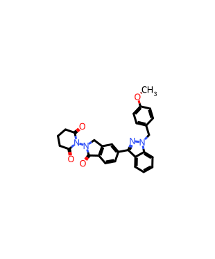 COc1ccc(Cn2nc(-c3ccc4c(c3)CN(N3C(=O)CCCC3=O)C4=O)c3ccccc32)cc1